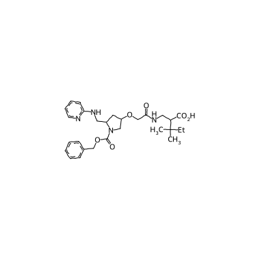 CCC(C)(C)C(CNC(=O)COC1CC(CNc2ccccn2)N(C(=O)OCc2ccccc2)C1)C(=O)O